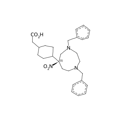 O=C(O)CC1CCC([C@@]2([N+](=O)[O-])CCN(Cc3ccccc3)CCN(Cc3ccccc3)C2)CC1